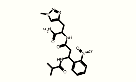 CC(C)C(=O)NC(CC(=O)NC(Cc1cn(C)nn1)C(N)=O)c1ccccc1[N+](=O)[O-]